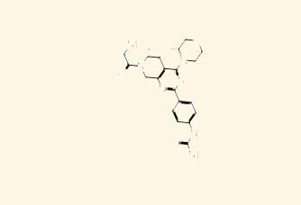 CCNC(=O)Nc1ccc(-c2nc3c(c(N4CCOC[C@@H]4C)n2)CCN(C(=O)[C@H](C)N)C3)cc1